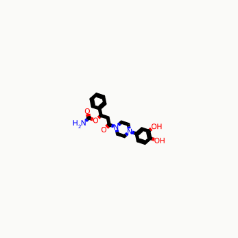 NC(=O)OC(CC(=O)N1CCN(c2ccc(O)c(O)c2)CC1)c1ccccc1